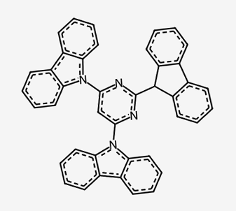 c1ccc2c(c1)-c1ccccc1C2c1nc(-n2c3ccccc3c3ccccc32)cc(-n2c3ccccc3c3ccccc32)n1